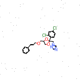 Clc1ccc(C2(Cn3cncn3)OCC(COCC=Cc3ccccc3)O2)c(Cl)c1